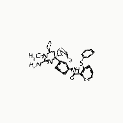 CN1C(=O)C[C@@](C)(c2cccc(NC(=O)c3ncccc3Sc3ccccc3)c2)N=C1N